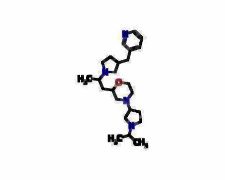 CC(C)N1CCC(N2CCOC(CC(C)N3CCC(Cc4cccnc4)C3)C2)C1